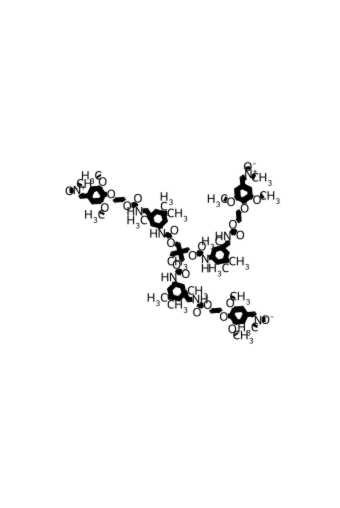 CCC(COC(=O)NC1CC(C)(C)CC(C)(CNC(=O)OCCOc2c(OC)cc(/C=[N+](\C)[O-])cc2OC)C1)(COC(=O)NC1CC(C)(C)CC(C)(CNC(=O)OCCOc2c(OC)cc(/C=[N+](\C)[O-])cc2OC)C1)COC(=O)NC1CC(C)(C)CC(C)(CNC(=O)OCCOc2c(OC)cc(/C=[N+](\C)[O-])cc2OC)C1